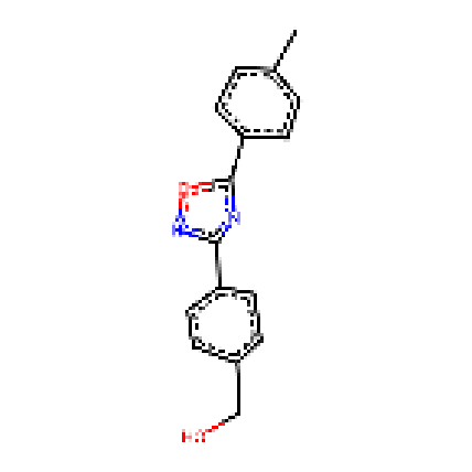 Cc1ccc(-c2nc(-c3ccc(CO)cc3)no2)cc1